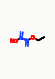 CCONNO